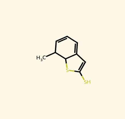 CC1C=CC=C2C=C(S)SC21